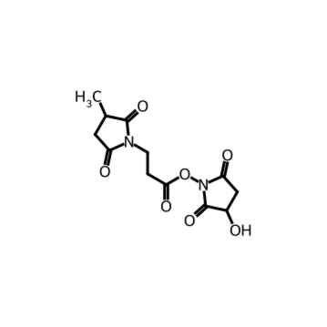 CC1CC(=O)N(CCC(=O)ON2C(=O)CC(O)C2=O)C1=O